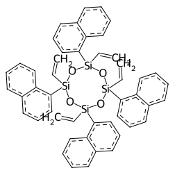 C=C[Si]1(c2cccc3ccccc23)O[Si](C=C)(c2cccc3ccccc23)O[Si](C=C)(c2cccc3ccccc23)O[Si](C=C)(c2cccc3ccccc23)O1